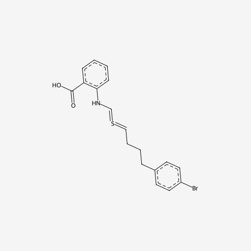 O=C(O)c1ccccc1NC=S=CCCCc1ccc(Br)cc1